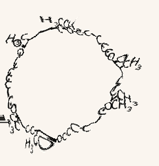 CC1CCCC(C)(C)OCCCCCCOC(=O)C(C)CCCC(C)(C)OCCCCCCOC(=O)C(C)CCCC(C)(C)OCCCCCCOC1=O